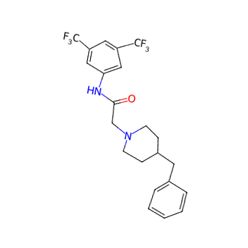 O=C(CN1CCC(Cc2ccccc2)CC1)Nc1cc(C(F)(F)F)cc(C(F)(F)F)c1